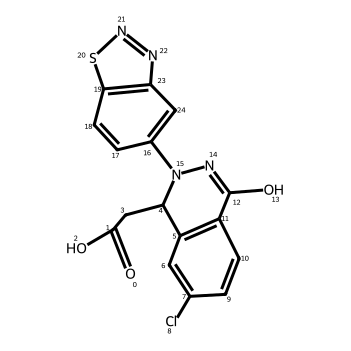 O=C(O)CC1c2cc(Cl)ccc2C(O)=NN1c1ccc2snnc2c1